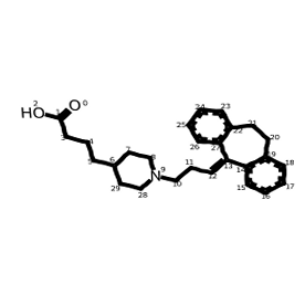 O=C(O)CCCC1CCN(CCC=C2c3ccccc3CCc3ccccc32)CC1